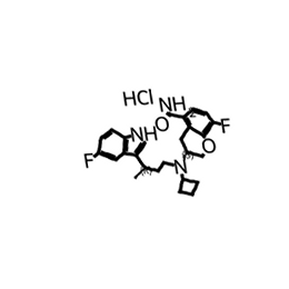 C[C@H](CCN(C1CCC1)[C@@H]1COc2c(F)ccc(C(N)=O)c2C1)c1c[nH]c2ccc(F)cc12.Cl